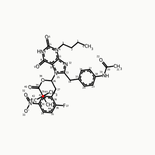 CCCCn1c(=O)[nH]c(=O)c2c1nc(Cc1ccc(NC(C)=O)cc1)n2C(Cc1cc([N+](=O)[O-])ccc1F)OC(=O)C(C)(C)C